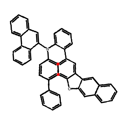 c1ccc(-c2ccc(N(c3ccccc3-c3ccc4oc5cc6ccccc6cc5c4c3)c3cc4ccccc4c4ccccc34)cc2)cc1